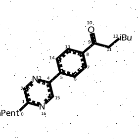 CCCCCc1cnc(-c2ccc(C(=O)CC(C)CC)cc2)cn1